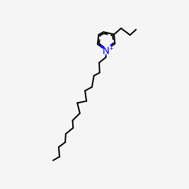 CCCCCCCCCCCCCCCC[n+]1cccc(CCC)c1